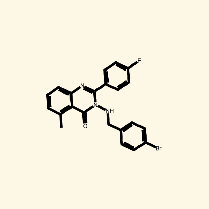 Cc1cccc2nc(-c3ccc(F)cc3)n(NCc3ccc(Br)cc3)c(=O)c12